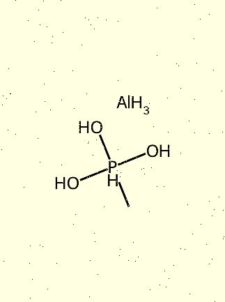 C[PH](O)(O)O.[AlH3]